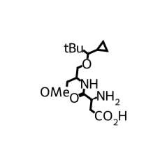 COCC(COC(C1CC1)C(C)(C)C)NC(=O)[C@@H](N)CC(=O)O